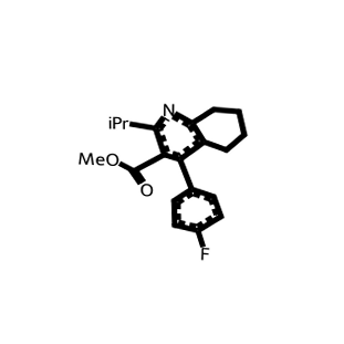 COC(=O)c1c(C(C)C)nc2c(c1-c1ccc(F)cc1)CCCC2